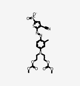 COC(=O)OCCN(CCOC(=O)OC)c1ccc(/N=N/c2sc([N+](=O)[O-])cc2C#N)c(C)c1